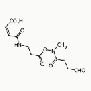 CN(OC(=O)CCNC(=O)/C=C\C(=O)O)C(=O)CCC=O